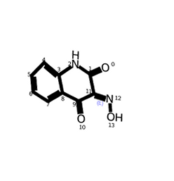 O=C1Nc2ccccc2C(=O)/C1=N\O